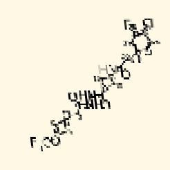 O=C(COC1CC(OC(F)(F)F)C1)NNC(=O)N1CC(NC(=O)COc2ccc(Cl)c(F)c2)C1